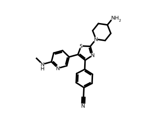 CNc1ccc(-c2sc(N3CCC(N)CC3)nc2-c2ccc(C#N)cc2)cn1